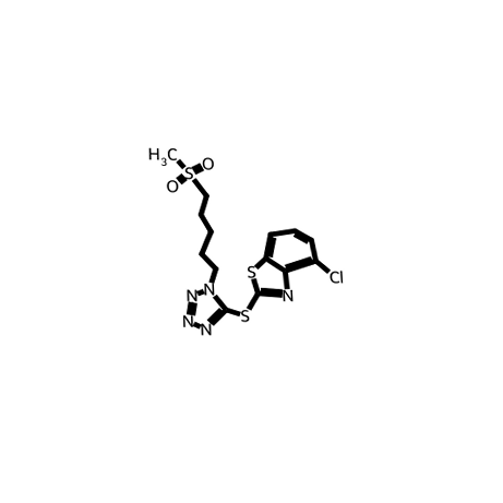 CS(=O)(=O)CCCCCn1nnnc1Sc1nc2c(Cl)cccc2s1